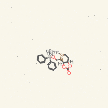 CCCCC[SH]1CC[C@H]2OC(=O)O[C@H]2[C@H]1CO[Si](c1ccccc1)(c1ccccc1)C(C)(C)C